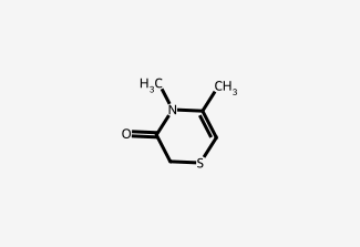 CC1=CSCC(=O)N1C